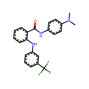 CN(C)c1ccc(NC(=O)c2ccccc2Nc2cccc(C(F)(F)F)c2)cc1